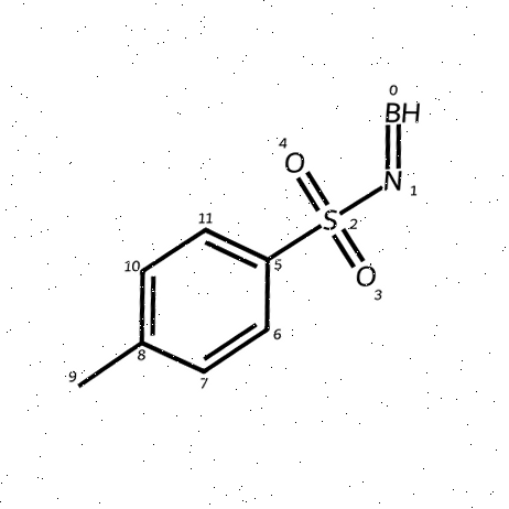 B=NS(=O)(=O)c1ccc(C)cc1